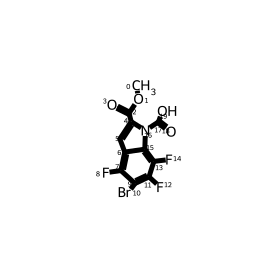 COC(=O)c1cc2c(F)c(Br)c(F)c(F)c2n1C(=O)O